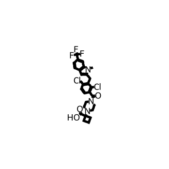 Cn1c(Cc2c(Cl)ccc(C(=O)N3CCN(C4(C(=O)O)CCC4)CC3)c2Cl)cc2ccc(C(F)(F)F)cc21